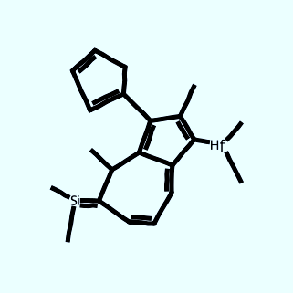 CC1=[C]([Hf]([CH3])[CH3])C2=CC=CC(=[Si](C)C)C(C)C2=C1C1=CC=CC1